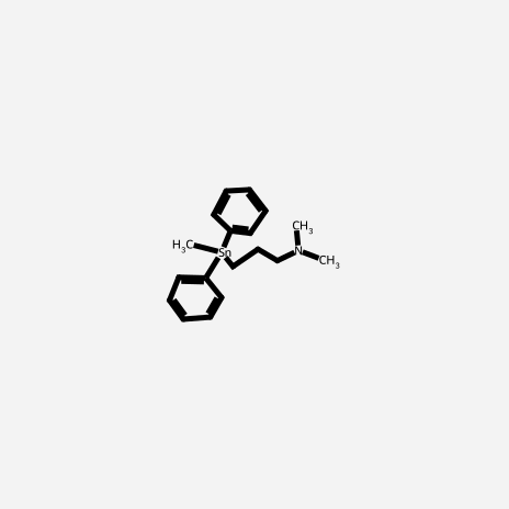 CN(C)CC[CH2][Sn]([CH3])([c]1ccccc1)[c]1ccccc1